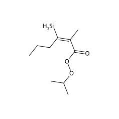 CCCC([SiH3])=C(C)C(=O)OOC(C)C